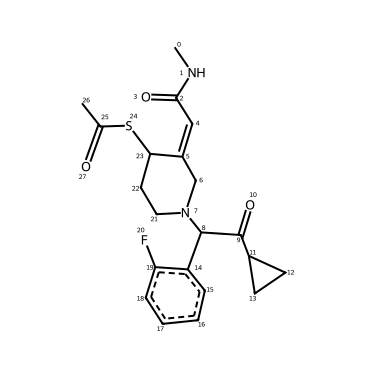 CNC(=O)/C=C1/CN(C(C(=O)C2CC2)c2ccccc2F)CCC1SC(C)=O